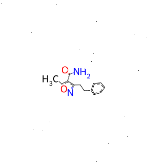 Cc1onc(CCc2ccccc2)c1C(N)=O